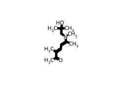 CC(=O)/C(C)=C/C=C(\C)N(C)CC(C)(C)O